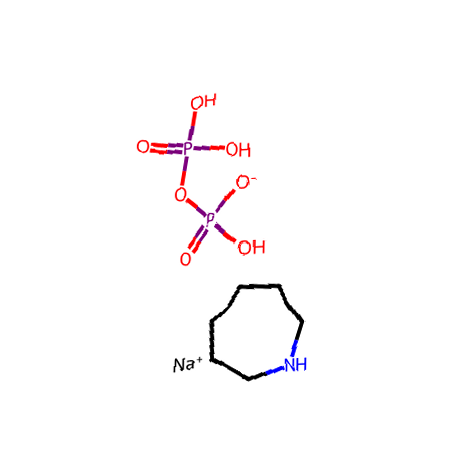 C1CCCNCC1.O=P([O-])(O)OP(=O)(O)O.[Na+]